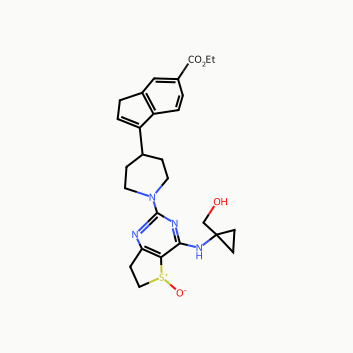 CCOC(=O)c1ccc2c(c1)CC=C2C1CCN(c2nc3c(c(NC4(CO)CC4)n2)[S+]([O-])CC3)CC1